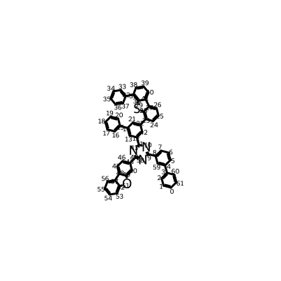 c1ccc(-c2cccc(-c3nc(-c4cc(-c5ccccc5)cc(-c5cccc6c5sc5c(-c7ccccc7)cccc56)c4)nc(-c4ccc5c(c4)oc4ccccc45)n3)c2)cc1